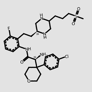 CS(=O)(=O)CCCC1CN[C@@H](CCc2c(F)cccc2NC(=O)[C@@H](N)C2(c3ccc(Cl)cc3)CCOCC2)CN1